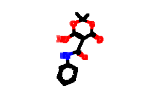 CC1(C)OC(=O)C(C(=O)Nc2ccccc2)=C(O)O1